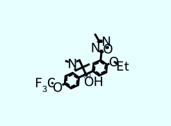 CCOc1ccc([C@](O)(c2ccc(OC(F)(F)F)cc2)C2(C)CN(C)C2)cc1-c1nc(C)no1